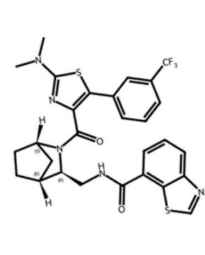 CN(C)c1nc(C(=O)N2[C@H]3CC[C@H](C3)[C@@H]2CNC(=O)c2cccc3ncsc23)c(-c2cccc(C(F)(F)F)c2)s1